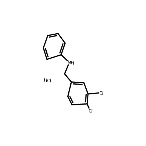 Cl.Clc1ccc(CNc2ccccc2)cc1Cl